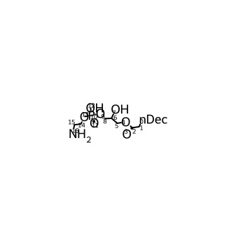 CCCCCCCCCCCC(=O)OCC(O)COP(=O)(O)OCCN